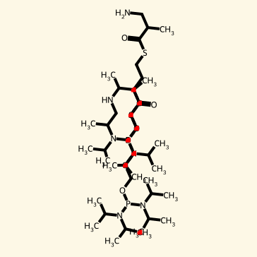 CC(CN)C(=O)SCCCOCOP(N(C(C)C)C(C)C)N(C(C)C)C(C)CNC(C)C(C)C(=O)SCOCOCOP(N(C(C)C)C(C)C)N(C(C)C)C(C)C